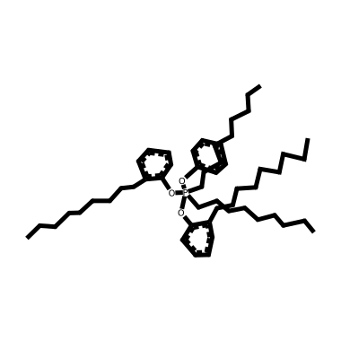 CCCCCCCCCc1ccccc1OP(CCCCCCCCC)(CCCCCCCCC)(Oc1ccccc1)Oc1ccccc1CCCCCCCCC